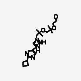 CC(C)(COC(C)(C)CN1C=C(c2cnc(C3CCC3)nc2)NN1)OCC=O